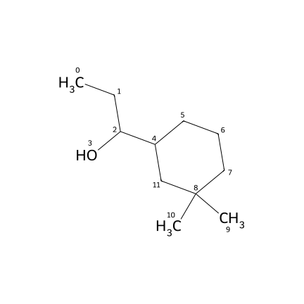 CCC(O)C1CCCC(C)(C)C1